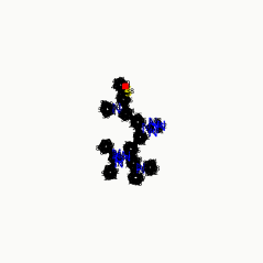 c1ccc(-c2cc(-c3ccccc3)nc(-n3c4ccc(-c5ccc6c(c5)c5cc(-c7ccc8c(c7)c7cc9sc%10ccccc%10c9cc7n8-c7ccccc7)ccc5n6-c5ncncn5)cc4c4cc5c(cc43)c3ccccc3n5-c3ccccc3)n2)cc1